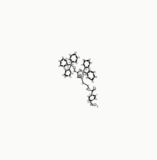 CC(C)(C)[Si](OC(CCCCOC(=O)c1ccc([N+](=O)[O-])cc1)COC(c1ccccc1)(c1ccccc1)c1ccccc1)(c1ccccc1)c1ccccc1